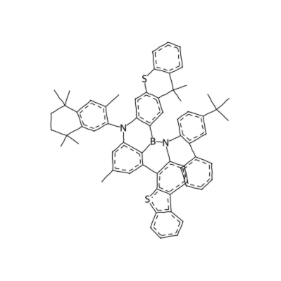 Cc1cc2c3c(c1)N(c1cc4c(cc1C)C(C)(C)CCC4(C)C)c1cc4c(cc1B3N(c1ccc(C(C)(C)C)cc1-c1ccccc1)c1ccc3c(sc5ccccc53)c1-2)C(C)(C)c1ccccc1S4